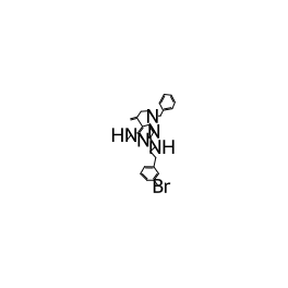 C=C1CCN(Cc2ccccc2)c2nc(NCCc3cccc(Br)c3)nc(NC)c21